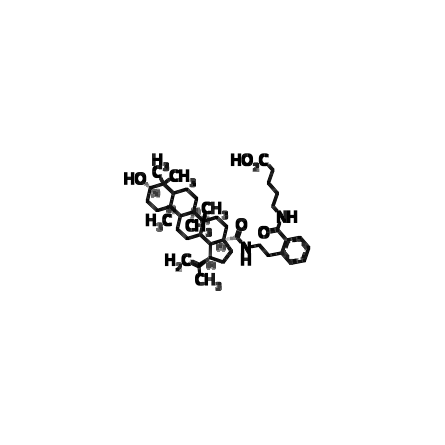 C=C(C)[C@@H]1CC[C@]2(C(=O)NCCc3ccccc3C(=O)NCCCCC(=O)O)CC[C@]3(C)C(CCC4[C@@]5(C)CC[C@H](O)C(C)(C)C5CC[C@]43C)C12